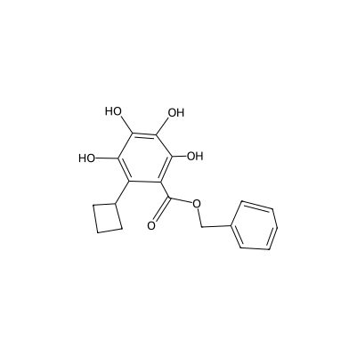 O=C(OCc1ccccc1)c1c(O)c(O)c(O)c(O)c1C1CCC1